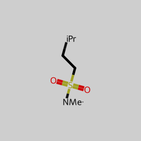 C[N]S(=O)(=O)CCC(C)C